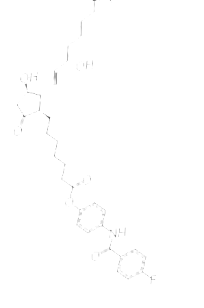 CCCCC[C@H](O)/C=C/[C@H]1[C@H](O)CC(=O)[C@@H]1CCCCCCC(=O)Oc1ccc(NC(=O)c2ccc(F)cc2)cc1